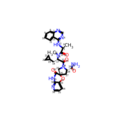 C[C@H](Nc1ncnc2ccccc12)C(=O)N(C)[C@@H](CC1CC1)C(=O)N1C[C@@]2(C[C@H]1C(N)=O)Oc1cccnc1NC2=O